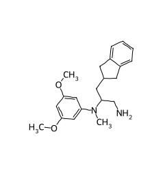 COc1cc(OC)cc(N(C)C(CN)CC2Cc3ccccc3C2)c1